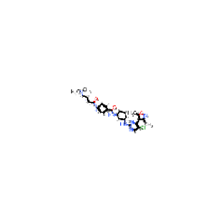 Cc1noc(C)c1-c1nc(N[C@@H]2CCC[C@H](NC(=O)c3ccc(NC(=O)/C=C/CN(C)C)cc3)C2)ncc1Cl